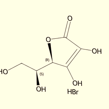 Br.O=C1O[C@H]([C@@H](O)CO)C(O)=C1O